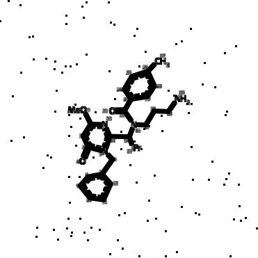 COc1cc(=O)n(Cc2ccccc2)c(C(C(C)C)N(CCCN)C(=O)c2ccc(C)cc2)n1